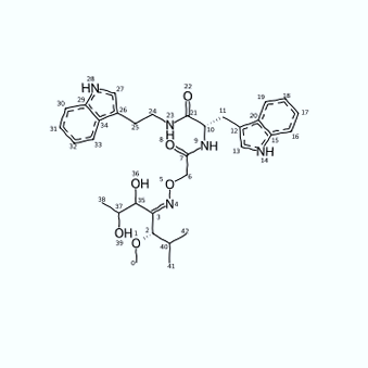 CO[C@H](/C(=N/OCC(=O)N[C@@H](Cc1c[nH]c2ccccc12)C(=O)NCCc1c[nH]c2ccccc12)C(O)C(C)O)C(C)C